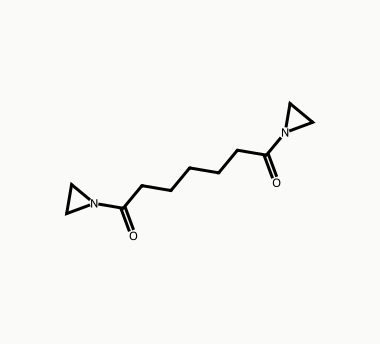 O=C(CCCCCC(=O)N1CC1)N1CC1